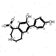 O=S(=O)=C1CNCCc2cc(-c3ccc(O)cc3)c(O)cc21